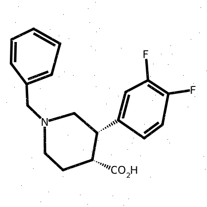 O=C(O)[C@@H]1CCN(Cc2ccccc2)C[C@@H]1c1ccc(F)c(F)c1